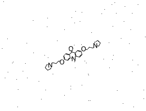 Cn1c2ccc(OCCCN3CCCC3)cc2c(=O)c2ccc(OCCCN3CCCC3)cc21